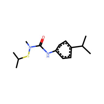 CC(C)SN(C)C(=O)Nc1ccc(C(C)C)cc1